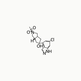 CS(=O)(=O)N1CC2CC(O)(c3cc(Cl)cc4[nH]ncc34)C[C@@H]2C1